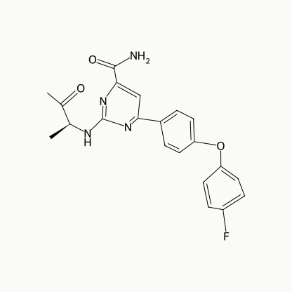 CC(=O)[C@H](C)Nc1nc(C(N)=O)cc(-c2ccc(Oc3ccc(F)cc3)cc2)n1